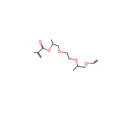 C=COCC(C)OCCOCC(C)OC(=O)C(=C)C